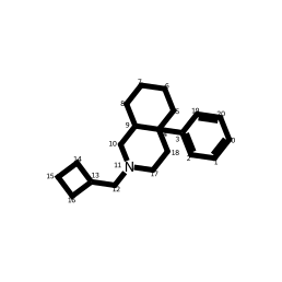 c1ccc(C23CCCCC2CN(CC2CCC2)CC3)cc1